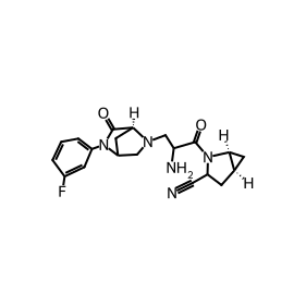 N#CC1C[C@@H]2C[C@@H]2N1C(=O)C(N)CN1CC2C[C@H]1C(=O)N2c1cccc(F)c1